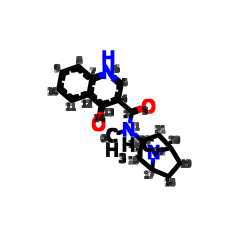 CN(C(=O)c1c[nH]c2ccccc2c1=O)C1CC2CCC(C1)N2C